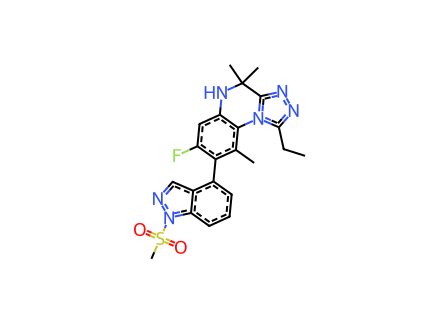 CCc1nnc2n1-c1c(cc(F)c(-c3cccc4c3cnn4S(C)(=O)=O)c1C)NC2(C)C